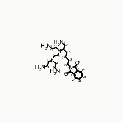 NCCN(CCN)CCN(CCN)C(CN)CCCCN1C(=O)c2ccccc2C1=O